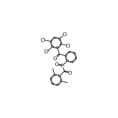 Cc1cccc(C)c1C(=O)[P](=O)c1ccccc1C(=O)c1c(Cl)c(Cl)cc(Cl)c1Cl